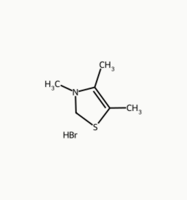 Br.CC1=C(C)N(C)CS1